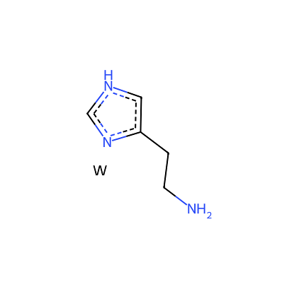 NCCc1c[nH]cn1.[W]